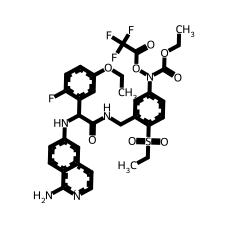 CCOC(=O)N(OC(=O)C(F)(F)F)c1ccc(S(=O)(=O)CC)c(CNC(=O)C(Nc2ccc3c(N)nccc3c2)c2cc(OCC)ccc2F)c1